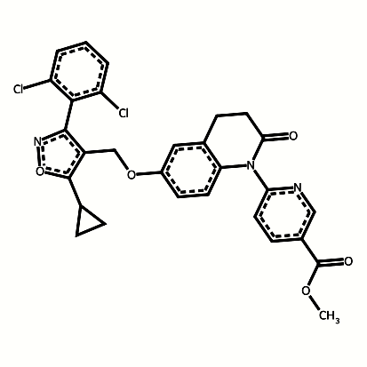 COC(=O)c1ccc(N2C(=O)CCc3cc(OCc4c(-c5c(Cl)cccc5Cl)noc4C4CC4)ccc32)nc1